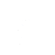 O=C(O)N[C@H](C(=O)N1CCC(N2CC(F)(F)C2)CC1)C1CCCCC1